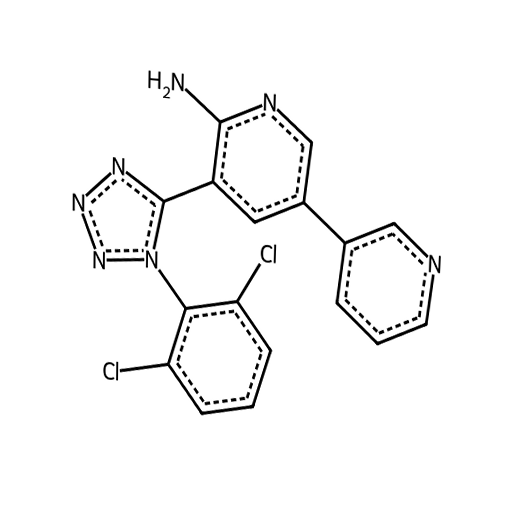 Nc1ncc(-c2cccnc2)cc1-c1nnnn1-c1c(Cl)cccc1Cl